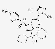 Cc1ccc(S(=O)(=O)n2cc(C(O)(C3CCCCC3)C3CCCCC3)c3ncc(-c4c(C)noc4C)cc32)cc1